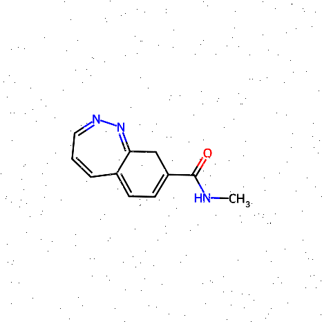 CNC(=O)C1=CC=C2C=CC=NN=C2C1